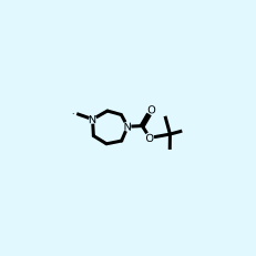 [CH2]N1CCCN(C(=O)OC(C)(C)C)CC1